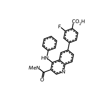 CNC(=O)c1cnc2ccc(-c3ccc(C(=O)O)c(F)c3)cc2c1Nc1ccccc1